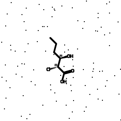 CCC[C@@H](O)[C@@H](Cl)C(=O)O